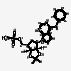 CC1(C)O[C@@H]2[C@@H](COS(N)(=O)=O)C[C@@H](n3ccc4c(Sc5ccccc5)ncnc43)[C@@H]2O1